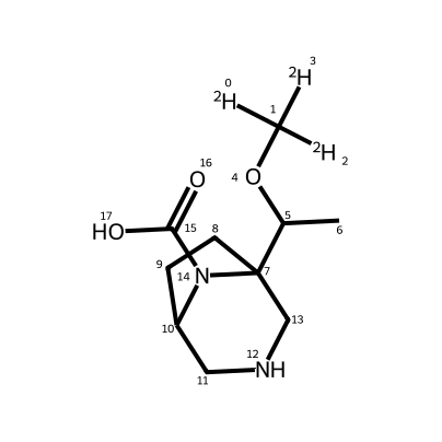 [2H]C([2H])([2H])OC(C)C12CCC(CNC1)N2C(=O)O